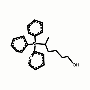 CC(CCCCO)[Si](c1ccccc1)(c1ccccc1)c1ccccc1